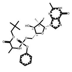 Cc1nc2c(ncn2[C@@H]2O[C@H](COP(=S)(NC(C)C(=O)OCC(C)(C)C)Oc3ccccc3)[C@@H](O)[C@@]2(C)F)c(=O)[nH]1